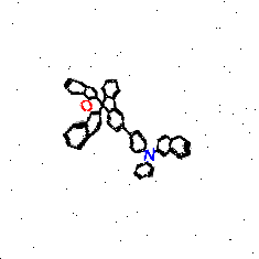 c1ccc(N(c2ccc(-c3ccc4c(c3)-c3ccccc3C43c4ccc5ccccc5c4Oc4c3ccc3ccccc43)cc2)c2ccc3ccccc3c2)cc1